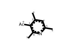 CC(=O)c1c(C)cc(C)nc1C